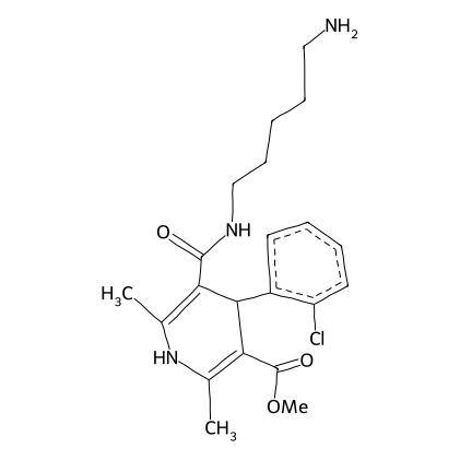 COC(=O)C1=C(C)NC(C)=C(C(=O)NCCCCCN)C1c1ccccc1Cl